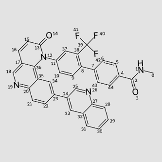 CNC(=O)c1ccc(-c2ccc(-n3c(=O)ccc4cnc5ccc(-c6cnc7ccccc7c6)cc5c43)cc2C(F)(F)F)cc1